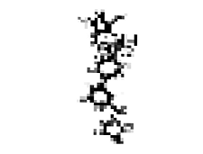 Cc1nn(C)c(C)c1NS(=O)(=O)c1ccc(-c2cccc(CN3CCCC3)c2)cc1